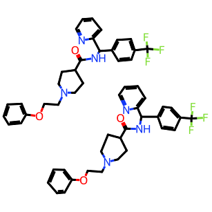 O=C(NC(c1ccc(C(F)(F)F)cc1)c1ccccn1)C1CCN(CCOc2ccccc2)CC1.O=C(NC(c1ccc(C(F)(F)F)cc1)c1ccccn1)C1CCN(CCOc2ccccc2)CC1